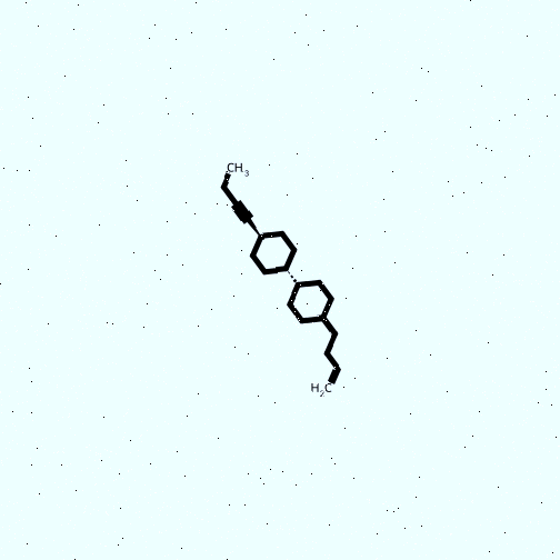 C=CCCC1CCC([C@H]2CC[C@H](C#CCC)CC2)CC1